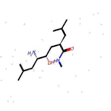 CNC(=O)[C@H](CC(C)C)C[C@H](O)[C@@H](N)CC(C)C